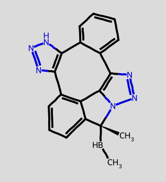 CB[C@]1(C)c2cccc3c2-c2c(nnn21)-c1ccccc1-c1[nH]nnc1-3